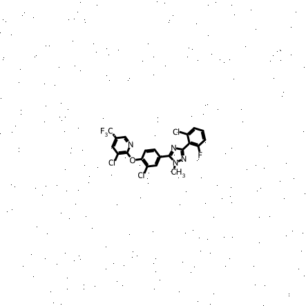 Cn1nc(-c2c(F)cccc2Cl)nc1-c1ccc(Oc2ncc(C(F)(F)F)cc2Cl)c(Cl)c1